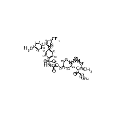 Cc1ccc(-c2cc(C(F)(F)F)nn2-c2ccc(S(=O)(=O)NC(=O)OCC3CCN(n4on4OC(C)OC(=O)OC(C)(C)C)CC3)cc2)cc1